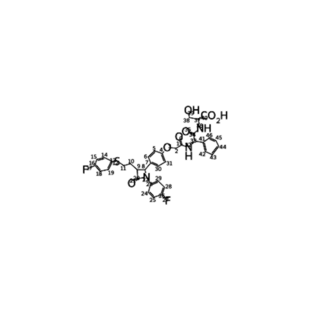 O=C(COc1ccc(C2C(CCSc3ccc(F)cc3)C(=O)N2c2ccc(F)cc2)cc1)N[C@@H](C(=O)N[C@@H](CO)C(=O)O)c1ccccc1